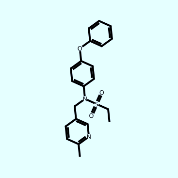 CCS(=O)(=O)N(Cc1ccc(C)nc1)c1ccc(Oc2ccccc2)cc1